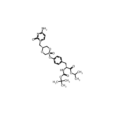 CC(C)OC(=O)[C@H](Cc1ccc(OP2(=O)CO[C@@H](Cn3ccc(N)nc3=O)CO2)cc1)NC(=O)OC(C)(C)C